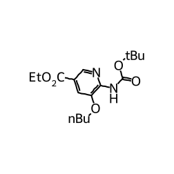 CCCCOc1cc(C(=O)OCC)cnc1NC(=O)OC(C)(C)C